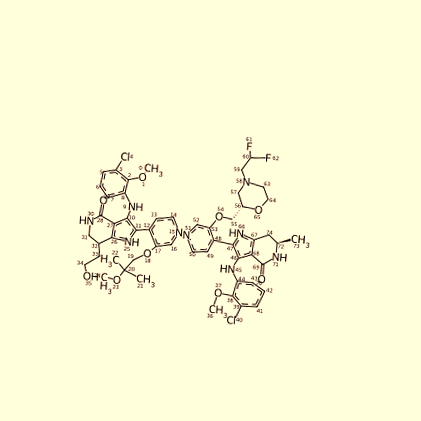 COc1c(Cl)cccc1Nc1c(-c2ccncc2OCC(C)(C)OC)[nH]c2c1C(=O)NCC2CCO.COc1c(Cl)cccc1Nc1c(-c2ccncc2OC[C@@H]2CN(CC(F)F)CCO2)[nH]c2c1C(=O)N[C@H](C)C2